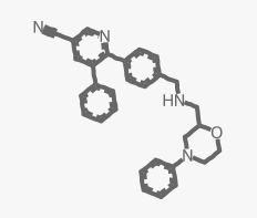 N#Cc1cnc(-c2ccc(CNCC3CN(c4ccccc4)CCO3)cc2)c(-c2ccccc2)c1